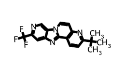 CC(C)(C)c1ccc2c(ccn3c4cnc(C(F)(F)F)cc4nc23)n1